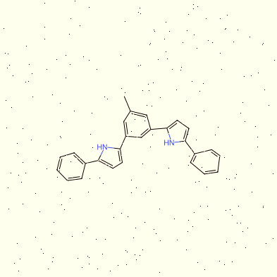 Cc1cc(-c2ccc(-c3ccccc3)[nH]2)cc(-c2ccc(-c3ccccc3)[nH]2)c1